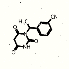 CC(c1cccc(C#N)c1)N1C(=O)CC(=O)NC1=O